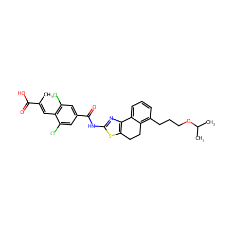 CC(=Cc1c(Cl)cc(C(=O)Nc2nc3c(s2)CCc2c(CCCOC(C)C)cccc2-3)cc1Cl)C(=O)O